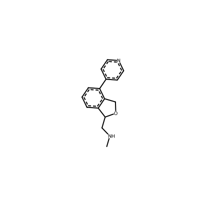 CNCC1OCc2c(-c3ccncc3)cccc21